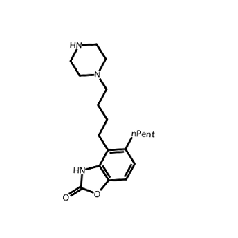 CCCCCc1ccc2oc(=O)[nH]c2c1CCCCN1CCNCC1